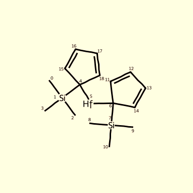 C[Si](C)(C)[C]1([Hf][C]2([Si](C)(C)C)C=CC=C2)C=CC=C1